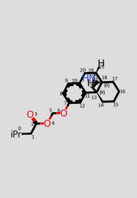 CC(C)CC(=O)OCOc1ccc2c(c1)[C@@]13CCCC[C@H]1[C@@H](C2)NCC3